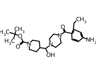 CCc1cc(N)ccc1C(=O)N1CCN(C(O)C2CCN(C(=O)OC(C)(C)C)CC2)CC1